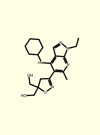 CCn1ncc2c(NC3CCCCC3)c(C3=NOC(CO)(CO)C3)c(C)nc21